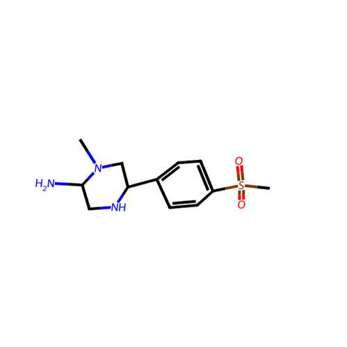 CN1CC(c2ccc(S(C)(=O)=O)cc2)NCC1N